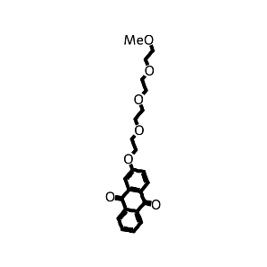 COCCOCCOCCOCCOc1ccc2c(c1)C(=O)c1ccccc1C2=O